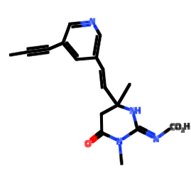 CC#Cc1cncc(C=CC2(C)CC(=O)N(C)C(=NC(=O)O)N2)c1